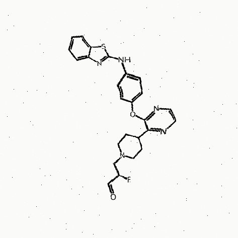 O=C[C@H](F)CN1CCC(c2nccnc2Oc2ccc(Nc3nc4ccccc4s3)cc2)CC1